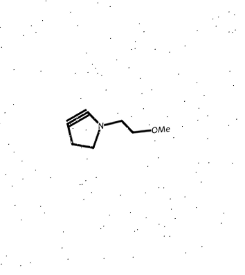 COCCN1C#CCC1